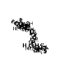 C[C@H](NC(O)[C@H](C)NC(=O)CCN1C(=O)C=CC1=O)C(=O)Nc1ccc(Sc2ccc([C@@H]3O[C@@H]4C[C@H]5[C@@H]6C[C@H](F)C7=CC(=O)C=C[C@]7(C)[C@@]6(F)[C@@H](O)C[C@]5(C)[C@]4(C(=O)CO)O3)cc2)cc1